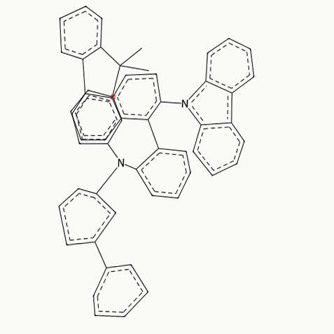 CC1(C)c2ccccc2-c2ccc(N(c3cccc(-c4ccccc4)c3)c3ccccc3-c3c(-n4c5ccccc5c5ccccc54)ccc4ccccc34)cc21